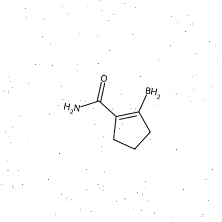 BC1=C(C(N)=O)CCC1